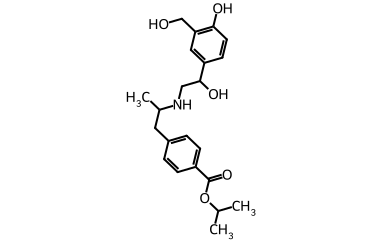 CC(Cc1ccc(C(=O)OC(C)C)cc1)NCC(O)c1ccc(O)c(CO)c1